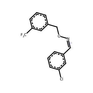 FC(F)(F)c1cccc(CO/N=[C]\c2cccc(Cl)c2)c1